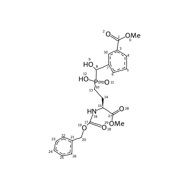 COC(=O)c1cccc(C(O)P(=O)(O)CC[C@H](NC(=O)OCc2ccccc2)C(=O)OC)c1